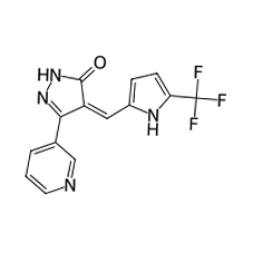 O=C1NN=C(c2cccnc2)C1=Cc1ccc(C(F)(F)F)[nH]1